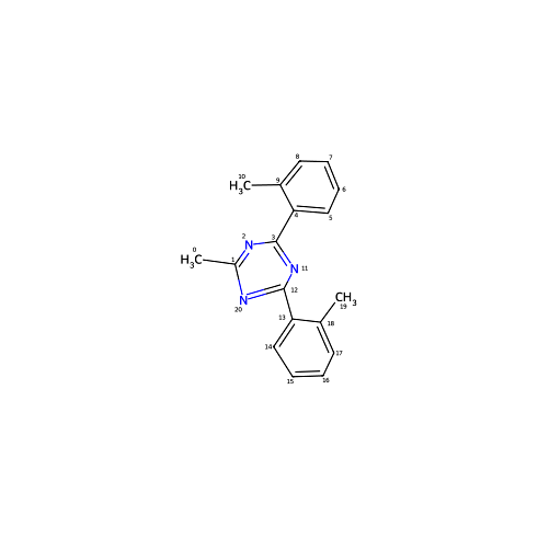 Cc1nc(-c2ccccc2C)nc(-c2ccccc2C)n1